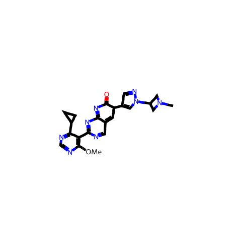 COc1ncnc(C2CC2)c1-c1ncc2c(n1)=NC(=O)C(c1cnn(C3CN(C)C3)c1)C=2